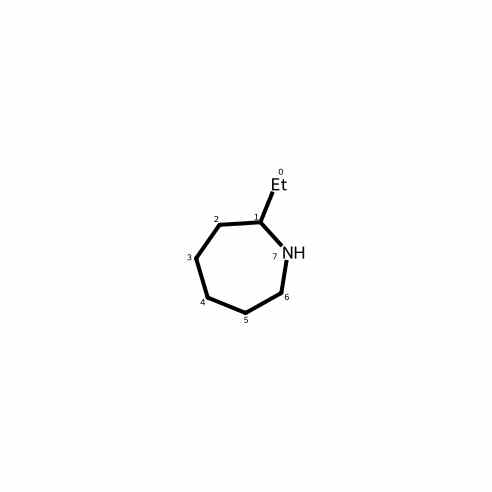 [CH2]CC1CCCCCN1